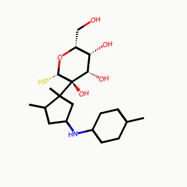 CC1CCC(NC2CC(C)C(C)([C@]3(O)[C@H](S)O[C@H](CO)[C@H](O)[C@@H]3O)C2)CC1